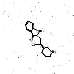 O=C1c2ccccc2C(=O)N1C/C(Cl)=C1/CCCNC1